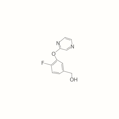 OCc1ccc(F)c(Oc2cnccn2)c1